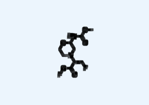 COC(=O)NC1CN(C(=CF)C(=O)OF)CCO1